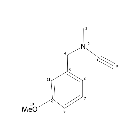 C#CN(C)Cc1cccc(OC)c1